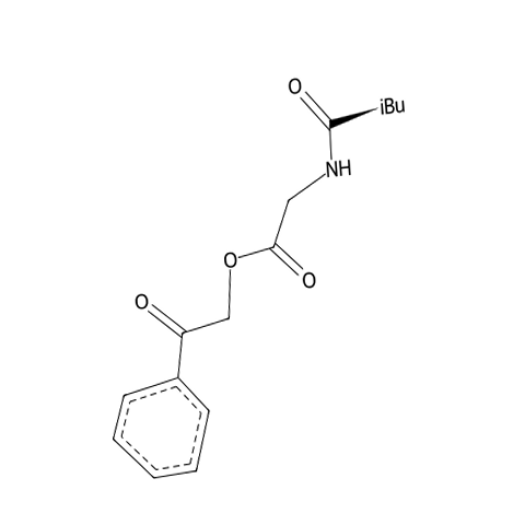 CC[C@H](C)C(=O)NCC(=O)OCC(=O)c1ccccc1